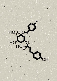 O=C(/C=C/c1ccc(O)cc1)O[C@@H]1C[C@](OCc2ccc(F)cc2)(C(=O)O)C[C@H](O)[C@H]1O